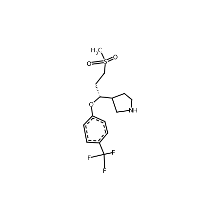 CS(=O)(=O)CC[C@@H](Oc1ccc(C(F)(F)F)cc1)C1CCNC1